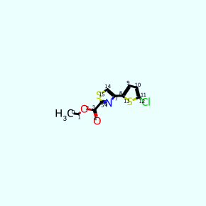 CCOC(=O)c1nc(-c2ccc(Cl)s2)cs1